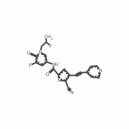 CC(F)Cn1cc(NC(=O)c2cc(C#Cc3ccncc3)c(C#N)s2)cc(F)c1=O